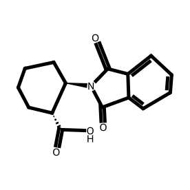 O=C(O)[C@@H]1CCCC[C@H]1N1C(=O)c2ccccc2C1=O